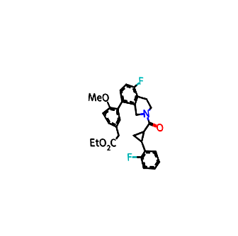 CCOC(=O)Cc1ccc(OC)c(-c2ccc(F)c3c2CN(C(=O)C2CC2c2ccccc2F)CC3)c1